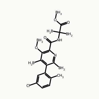 BOC(=O)C(B)(B)NC(=O)c1nc(B)c(-c2cc(Cl)ccc2C)c(B)c1OB